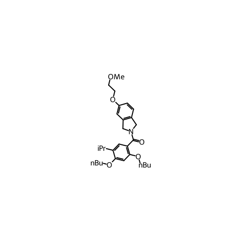 CCCCOc1cc(OCCCC)c(C(C)C)cc1C(=O)N1Cc2ccc(OCCOC)cc2C1